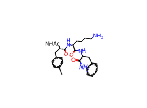 CC(=O)NC(Cc1ccc(C)cc1)C(=O)NC(CCCCN)C(=O)NC(Cc1ccccc1)C(N)=O